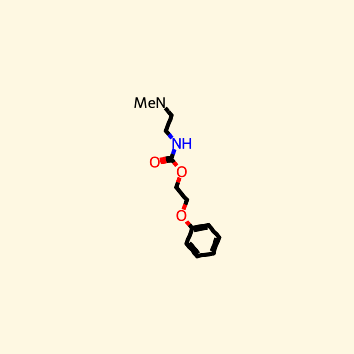 CNCCNC(=O)OCCOc1ccccc1